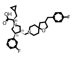 O=C(O)[C@@H](CC1CC1)N1C[C@H](CN2CCC3(CC2)CC(Cc2ccc(F)cc2)CO3)[C@@H](c2cccc(F)c2)C1